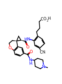 CN1CCC(NC(=O)c2ccc3c(c2)[C@]2(CCO3)C[C@H]2C(=O)Nc2cc(C#N)ccc2CCCC(=O)O)CC1